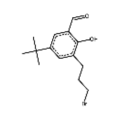 CC(C)(C)c1cc(C=O)c(O)c(CCCBr)c1